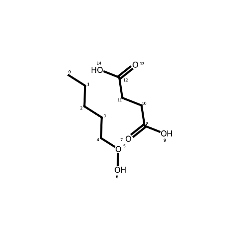 CCCCCOO.O=C(O)CCC(=O)O